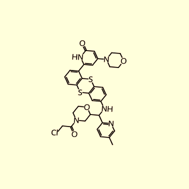 Cc1ccc(C(Nc2ccc3c(c2)Sc2cccc(-c4cc(N5CCOCC5)cc(=O)[nH]4)c2S3)C2CN(C(=O)CCl)CCO2)nc1